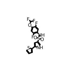 O=S(=O)(Nc1cc(F)c(OC(F)F)cc1F)c1c[nH]c(-c2cccs2)c1